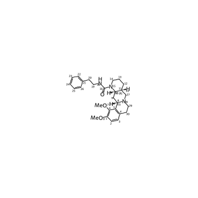 COc1ccc2c(c1OC)[C@@H]1C[C@H]3[C@H](CCCN3C(=O)NCCc3ccccc3)CN1CC2